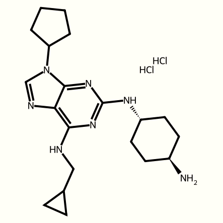 Cl.Cl.N[C@H]1CC[C@H](Nc2nc(NCC3CC3)c3ncn(C4CCCC4)c3n2)CC1